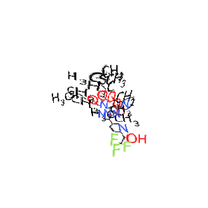 C=C(OCC)c1c(C2CC3CCC(C2)N3C(=O)OC(C)(C)C)nc2c(-c3ccc(C(O)C(F)(F)F)nc3)cnn2c1N(COCC[Si](C)(C)C)COCC[Si](C)(C)C